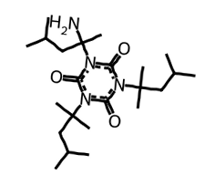 CC(C)CC(C)(C)n1c(=O)n(C(C)(C)CC(C)C)c(=O)n(C(C)(N)CC(C)C)c1=O